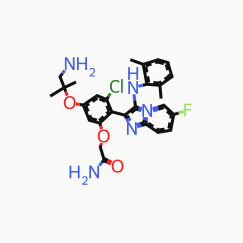 Cc1cccc(C)c1Nc1c(-c2c(Cl)cc(OC(C)(C)CN)cc2OCC(N)=O)nc2ccc(F)cn12